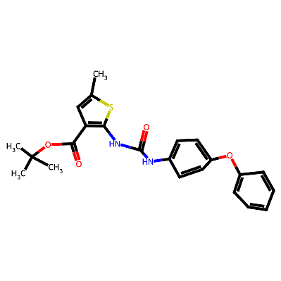 Cc1cc(C(=O)OC(C)(C)C)c(NC(=O)Nc2ccc(Oc3ccccc3)cc2)s1